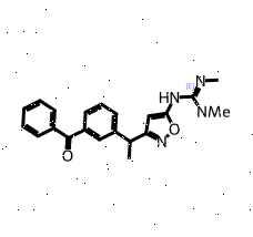 C/N=C(\NC)Nc1cc(C(C)c2cccc(C(=O)c3ccccc3)c2)no1